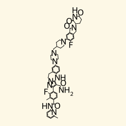 Cc1cccc(NC(=O)c2ccc(-c3nn4c(c3C(N)=O)Nc3ccc(N5CCN(CC6CCN(c7cc8c(cc7F)CN(C7CCC(=O)NC7=O)C8=O)CC6)CC5)cc3CC4)c(F)c2C)n1